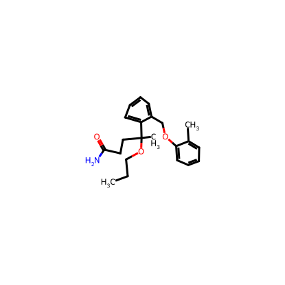 CCCOC(C)(CCC(N)=O)c1ccccc1COc1ccccc1C